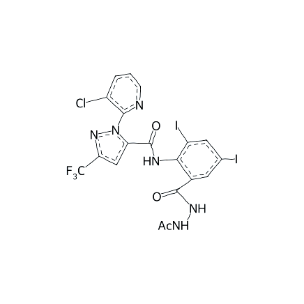 CC(=O)NNC(=O)c1cc(I)cc(I)c1NC(=O)c1cc(C(F)(F)F)nn1-c1ncccc1Cl